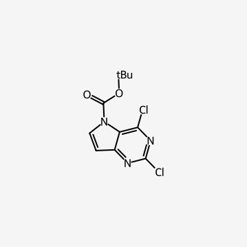 CC(C)(C)OC(=O)n1ccc2nc(Cl)nc(Cl)c21